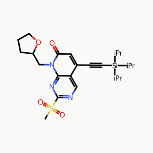 CC(C)[Si](C#Cc1cc(=O)n(CC2CCCO2)c2nc(S(C)(=O)=O)ncc12)(C(C)C)C(C)C